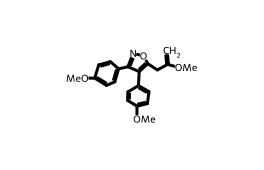 C=C(Cc1onc(-c2ccc(OC)cc2)c1-c1ccc(OC)cc1)OC